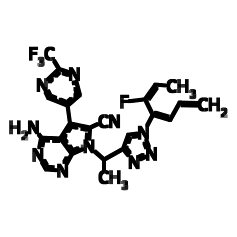 C=C/C=C(\C(F)=C/C)n1cc(C(C)n2c(C#N)c(-c3cnc(C(F)(F)F)nc3)c3c(N)ncnc32)nn1